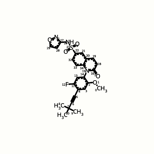 COc1cc(C#CC(C)(C)C)c(F)cc1-n1c(=O)ccc2cc(S(=O)(=O)Nc3ccon3)ccc21